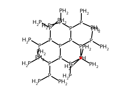 PPP(P)P(P(P(P)P)P(P)P)P(P(P(P)P)P(P)P)P(P(P(P)P)P(P)P)P(P(P)P)P(P)P